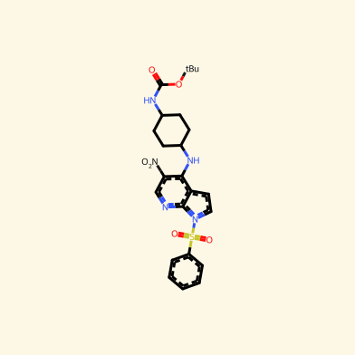 CC(C)(C)OC(=O)NC1CCC(Nc2c([N+](=O)[O-])cnc3c2ccn3S(=O)(=O)c2ccccc2)CC1